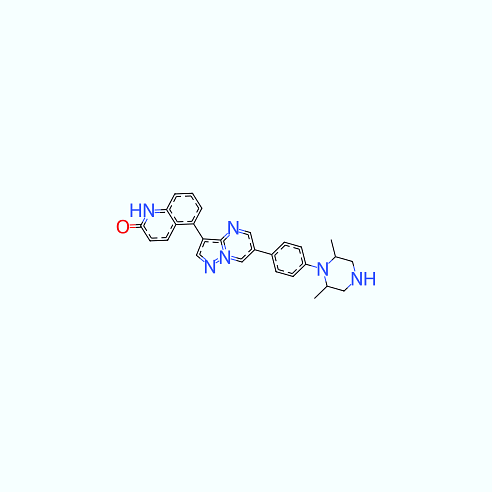 CC1CNCC(C)N1c1ccc(-c2cnc3c(-c4cccc5[nH]c(=O)ccc45)cnn3c2)cc1